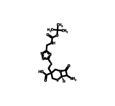 CC(C)(C)OC(=O)NCc1nnc(SCC2(C(=O)O)CS[C@@H]3C(N)C(=O)N3C2)s1